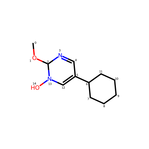 COC1N=CC(C2CCCCC2)=CN1O